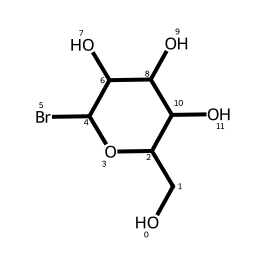 OCC1OC(Br)C(O)C(O)C1O